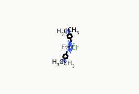 CCc1n(/N=C/c2ccc(N(C)C)cc2)cc[n+]1/N=C/c1ccc(N(C)C)cc1.[Cl-]